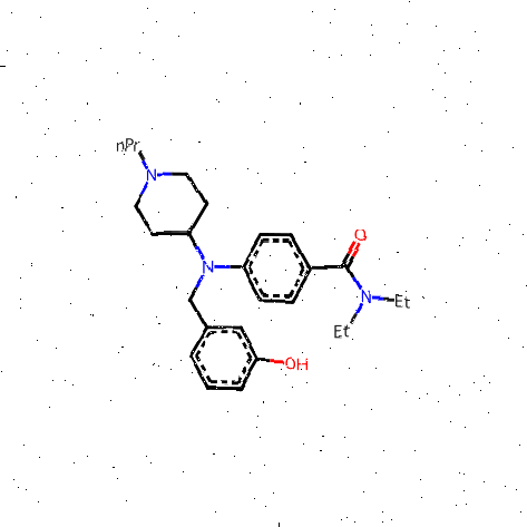 CCCN1CCC(N(Cc2cccc(O)c2)c2ccc(C(=O)N(CC)CC)cc2)CC1